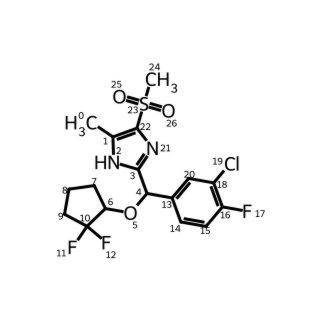 Cc1[nH]c(C(OC2CCCC2(F)F)c2ccc(F)c(Cl)c2)nc1S(C)(=O)=O